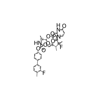 Cc1ccc(-c2ccc(OP(=O)(N[C@@H](C)C(=O)OC(C)C)OC[C@H]3O[C@@H](n4ccc(=O)[nH]c4=O)[C@](C)(F)C3C)cc2)cc1F